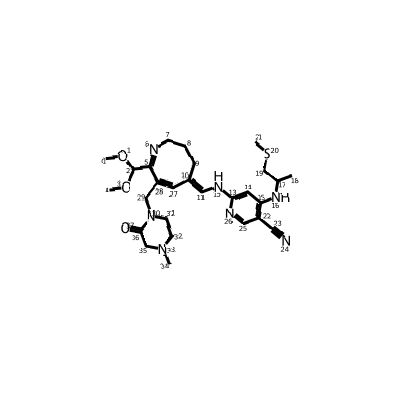 COC(OC)C1=N/CCCC(=C\Nc2cc(NC(C)CSC)c(C#N)cn2)/C=C\1CN1CCN(C)CC1=O